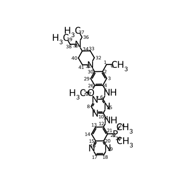 CCc1cc(Nc2ncnc(Nc3ccc4nccnc4c3P(C)C)n2)c(OC)cc1N1CCC(N(CC)CC)CC1